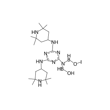 CC1(C)CC(Nc2nc(NC3CC(C)(C)NC(C)(C)C3)nc(N(BO)BOI)n2)CC(C)(C)N1